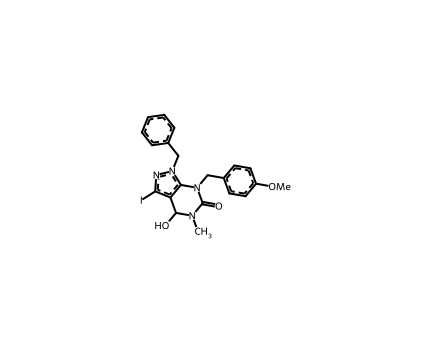 COc1ccc(CN2C(=O)N(C)C(O)c3c(I)nn(Cc4ccccc4)c32)cc1